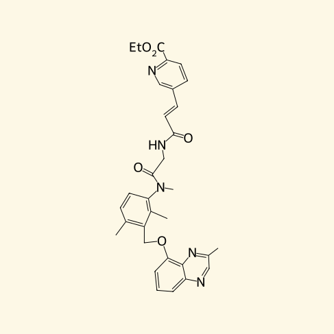 CCOC(=O)c1ccc(C=CC(=O)NCC(=O)N(C)c2ccc(C)c(COc3cccc4ncc(C)nc34)c2C)cn1